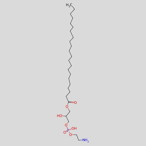 CCCCCCCCCCCCCCCCCCCCCC(=O)OCC(O)COP(=O)(O)OCCN